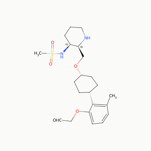 Cc1cccc(OCC=O)c1[C@H]1CC[C@@H](OC[C@@H]2NCCC[C@@H]2NS(C)(=O)=O)CC1